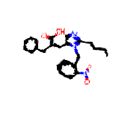 CCCCc1ncc(C=C(Cc2ccccc2)C(=O)O)n1Cc1ccccc1[N+](=O)[O-]